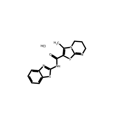 CC1=C(C(=O)Nc2nc3ccccc3s2)SC2=NCCCN21.Cl